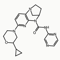 O=C(Nc1cnccn1)N1c2nc(N3CCOC(C4CC4)C3)ccc2N2CCC1C2